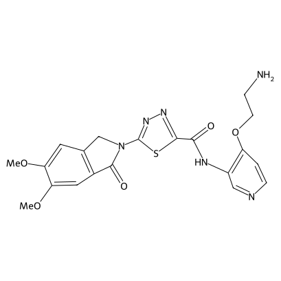 COc1cc2c(cc1OC)C(=O)N(c1nnc(C(=O)Nc3cnccc3OCCN)s1)C2